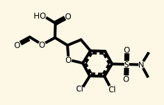 CN(C)S(=O)(=O)c1cc2c(c(Cl)c1Cl)OC(C(OC=O)C(=O)O)C2